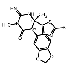 CN1C(=N)N[C@](C)(c2cnc(Br)s2)[C@@H](c2ccc3c(c2)OCO3)C1=O